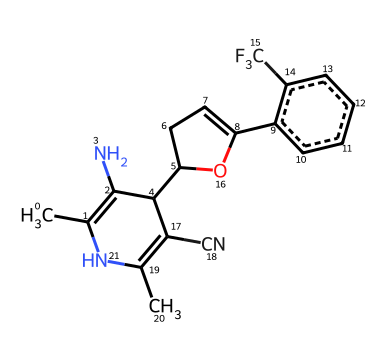 CC1=C(N)C(C2CC=C(c3ccccc3C(F)(F)F)O2)C(C#N)=C(C)N1